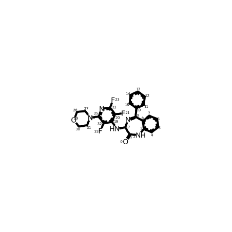 O=C1Nc2ccccc2C(c2ccccc2)=NC1Nc1c(F)c(F)nc(N2CCOCC2)c1F